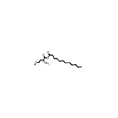 CCCCCCCCCCCC(=O)OC(=O)[C@@H](N)CCSC